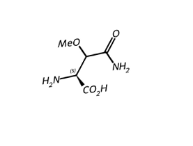 COC(C(N)=O)[C@H](N)C(=O)O